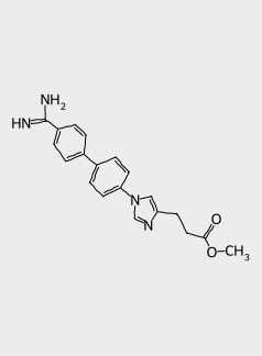 COC(=O)CCc1cn(-c2ccc(-c3ccc(C(=N)N)cc3)cc2)cn1